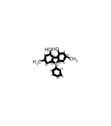 Cc1cc(O)c2c3c(O)cc(C)cc3p(-c3ccccc3)c2c1